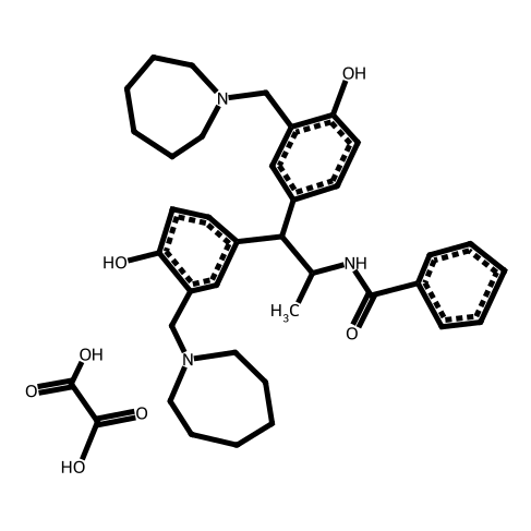 CC(NC(=O)c1ccccc1)C(c1ccc(O)c(CN2CCCCCC2)c1)c1ccc(O)c(CN2CCCCCC2)c1.O=C(O)C(=O)O